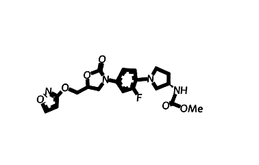 COC(=O)N[C@H]1CCN(c2ccc(N3CC(COc4ccon4)OC3=O)cc2F)C1